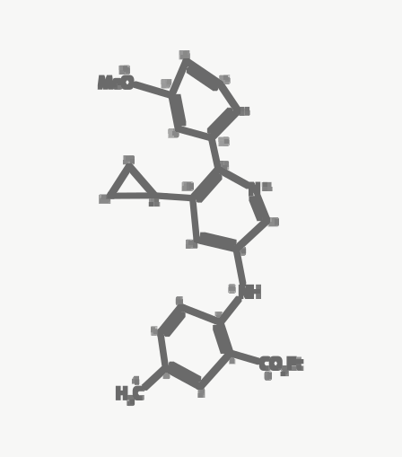 CCOC(=O)c1cc(C)ccc1Nc1cnc(-c2cccc(OC)c2)c(C2CC2)c1